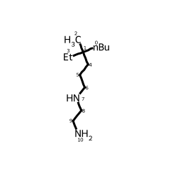 CCCCC(C)(CC)CCCNCCN